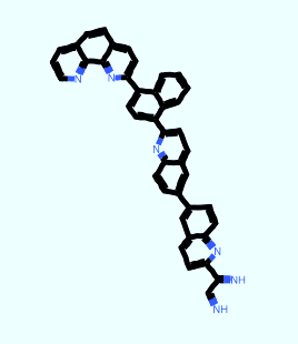 N=CC(=N)c1ccc2cc(-c3ccc4nc(-c5ccc(-c6ccc7ccc8cccnc8c7n6)c6ccccc56)ccc4c3)ccc2n1